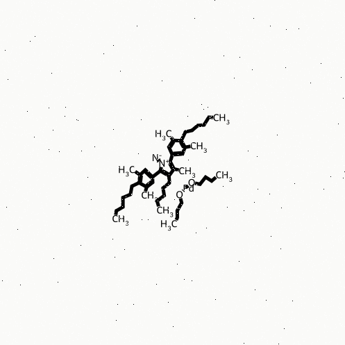 CCCCCCc1c(C)cc(C2=C(C)C(CCCCC)=C(c3cc(C)c(CCCCCC)c(C)c3)[N+]2=[N-])cc1C.CCCC[O][Pd][O]CCCC